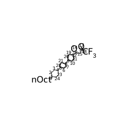 CCCCCCCCC1CCC(c2ccc(-c3ccc(C(=O)CC(=O)C(F)(F)F)cc3)cc2)CC1